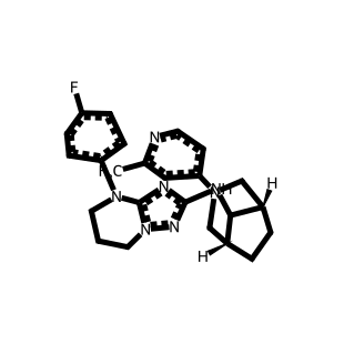 Fc1ccc(N2CCCn3nc(NC4[C@@H]5CC[C@H]4CN(c4ccnc(C(F)(F)F)c4)C5)nc32)cc1